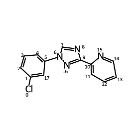 Clc1cccc(-n2cnc(-c3ccccn3)n2)c1